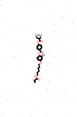 C=C(F)C(=O)OCCCCCCOc1ccc(OC(=O)c2ccc(OC(=O)C(=C)COC)cc2)c(CC)c1